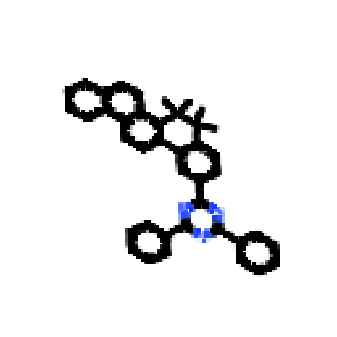 CC1(C)c2ccc(-c3nc(-c4ccccc4)nc(-c4ccccc4)n3)cc2-c2ccc3c(ccc4ccccc43)c2C1(C)C